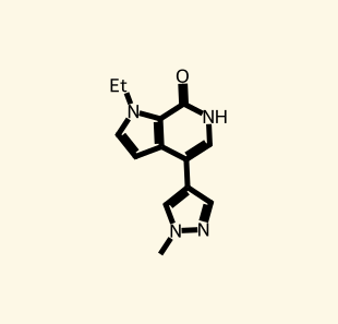 CCn1ccc2c(-c3cnn(C)c3)c[nH]c(=O)c21